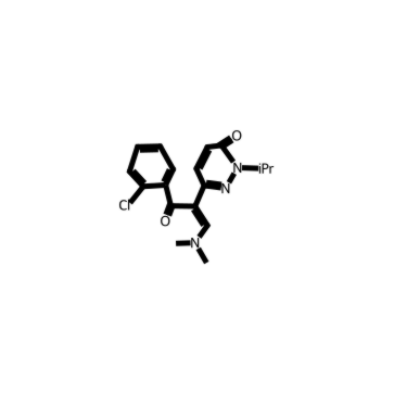 CC(C)n1nc(/C(=C/N(C)C)C(=O)c2ccccc2Cl)ccc1=O